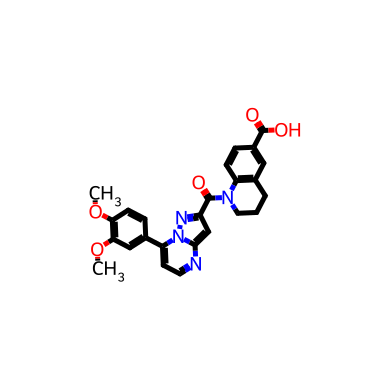 COc1ccc(-c2ccnc3cc(C(=O)N4CCCc5cc(C(=O)O)ccc54)nn23)cc1OC